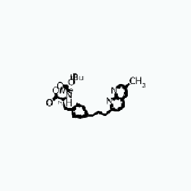 COC(=O)[C@H](Cc1ccc(CCCc2ccc3cc(C)cnc3n2)cc1)NC(=O)OC(C)(C)C